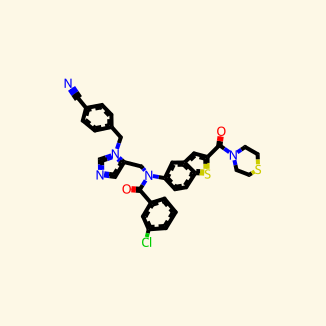 N#Cc1ccc(Cn2cncc2CN(C(=O)c2cccc(Cl)c2)c2ccc3sc(C(=O)N4CCSCC4)cc3c2)cc1